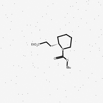 CCOC(=O)CC[C@@H]1CCCCN1C(=O)OC(C)(C)C